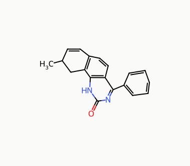 CC1C=Cc2ccc3c(-c4ccccc4)nc(=O)[nH]c3c2C1